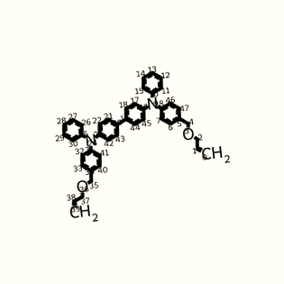 C=CCOCc1ccc(N(c2ccccc2)c2ccc(-c3ccc(N(c4ccccc4)c4ccc(COCC=C)cc4)cc3)cc2)cc1